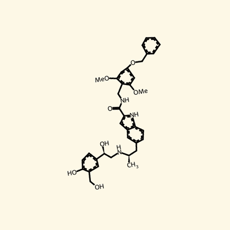 COc1cc(OCc2ccccc2)cc(OC)c1CNC(=O)c1cc2cc(C[C@@H](C)NC[C@H](O)c3ccc(O)c(CO)c3)ccc2[nH]1